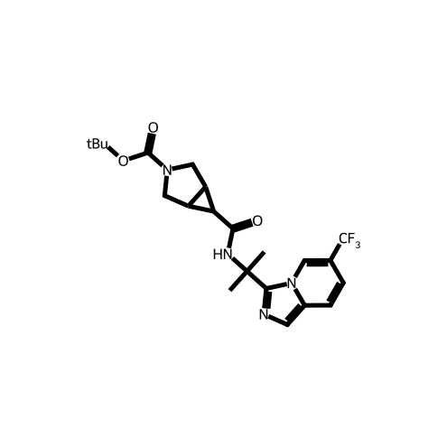 CC(C)(C)OC(=O)N1CC2C(C1)C2C(=O)NC(C)(C)c1ncc2ccc(C(F)(F)F)cn12